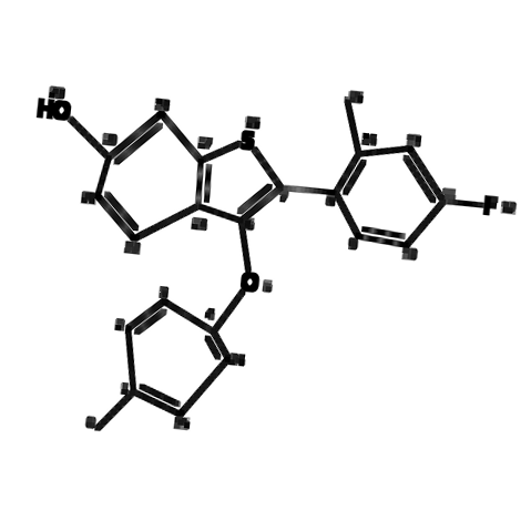 Cc1ccc(Oc2c(-c3ccc(F)cc3C)sc3cc(O)ccc23)cc1